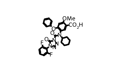 COc1cc(Oc2ccccc2)c(N(C(=O)n2nnn(-c3c(F)cccc3F)c2=O)C2CCCCC2)cc1C(=O)O